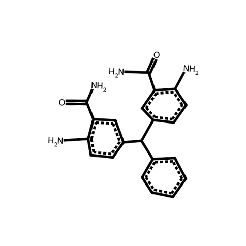 NC(=O)c1cc(C(c2ccccc2)c2ccc(N)c(C(N)=O)c2)ccc1N